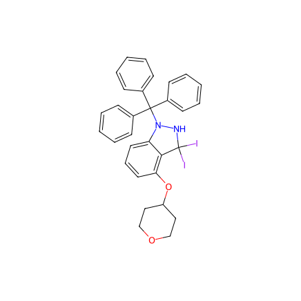 IC1(I)NN(C(c2ccccc2)(c2ccccc2)c2ccccc2)c2cccc(OC3CCOCC3)c21